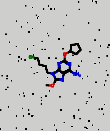 COc1nc2c(N)nc(OC3CCCC3)nc2n1CCCCCl